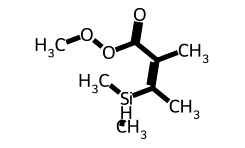 COOC(=O)C(C)=C(C)[SiH](C)C